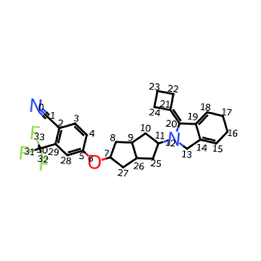 N#Cc1ccc(OC2CC3CC(N4CC5=CCCC=C5C4=C4CCC4)CC3C2)cc1C(F)(F)F